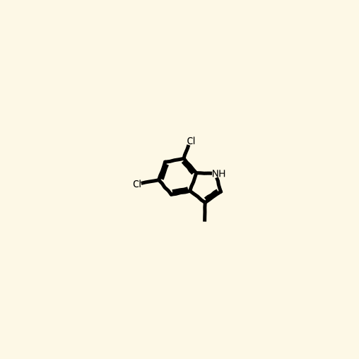 Cc1c[nH]c2c(Cl)cc(Cl)cc12